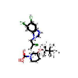 CC(C)(C)[Si](C)(C)O[C@H]1CCCN(C(=O)O)[C@@H]1CC(F)Cn1cnc2cc(Cl)c(Cl)cc21